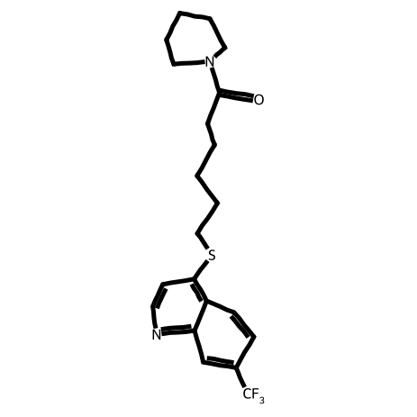 O=C(CCCCCSc1ccnc2cc(C(F)(F)F)ccc12)N1CCCCC1